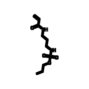 C=CC(=O)NCCCNS(=O)(=O)OCCC